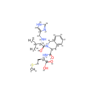 CSCC[C@@H](NC(=O)C1Cc2ccccc2CN1C(=O)[C@@H](NCc1c[nH]cn1)C(C)C)C(=O)O